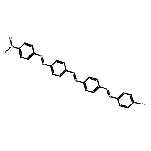 CCCCc1ccc(N=Nc2ccc(N=Nc3ccc(N=Nc4ccc(N(CC)CC)cc4)cc3)cc2)cc1